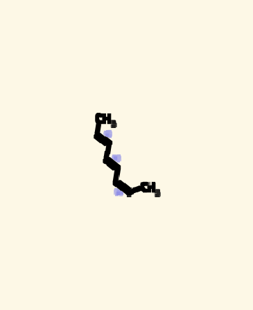 C\[C]=C/C=C/C=C/C